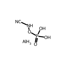 N#CNOP(=O)(O)O.[AlH3]